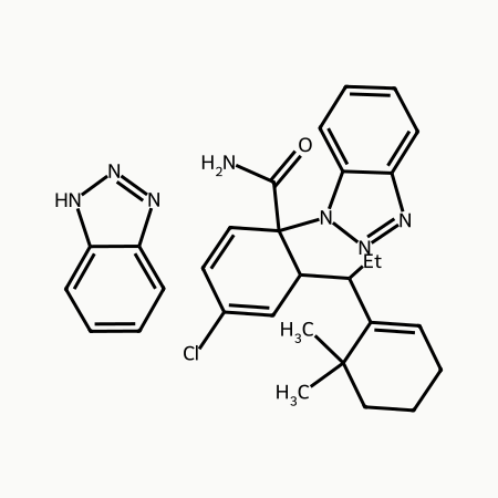 CCC(C1=CCCCC1(C)C)C1C=C(Cl)C=CC1(C(N)=O)n1nnc2ccccc21.c1ccc2[nH]nnc2c1